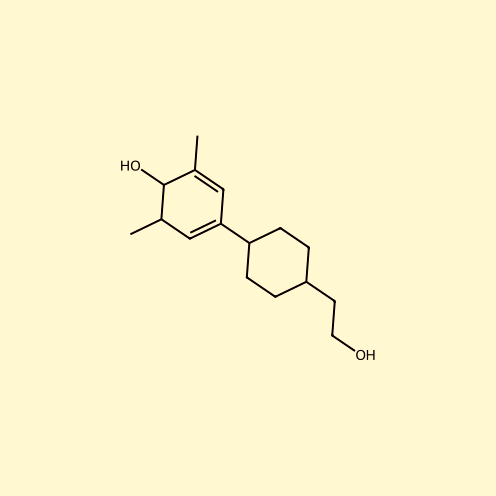 CC1=CC(C2CCC(CCO)CC2)=CC(C)C1O